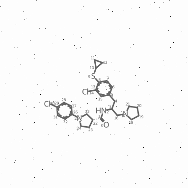 O=C(NC(Cc1ccc(SC2CC2)c(Cl)c1)CN1CCCC1)[C@@H]1CCN(c2ccc(Cl)cc2)C1